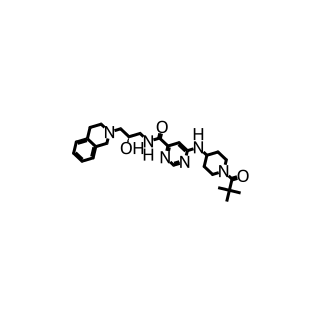 CC(C)(C)C(=O)N1CCC(Nc2cc(C(=O)NC[C@H](O)CN3CCc4ccccc4C3)ncn2)CC1